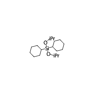 CC(C)O[Si](OC(C)C)(C1CCCCC1)C1CCCCC1